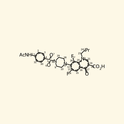 CC(=O)Nc1ccc(S(=O)(=O)N2CCN(c3c(F)cc4c(=O)c(C(=O)O)cn(CC(C)C)c4c3F)CC2)cc1